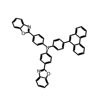 c1ccc2c(c1)cc(-c1ccc(N(c3ccc(-c4nc5ccccc5o4)cc3)c3ccc(-c4nc5ccccc5o4)cc3)cc1)c1ccccc12